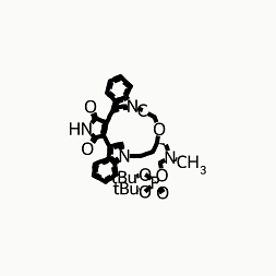 CN(COP(=O)(OC(C)(C)C)OC(C)(C)C)C[C@@H]1CCn2cc(c3ccccc32)C2=C(C(=O)NC2=O)c2cn(c3ccccc23)CCO1